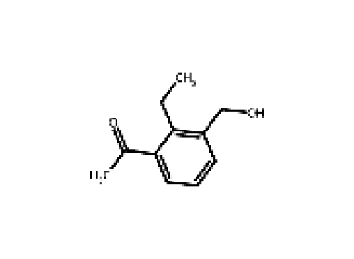 CCc1c(CO)cccc1C(C)=O